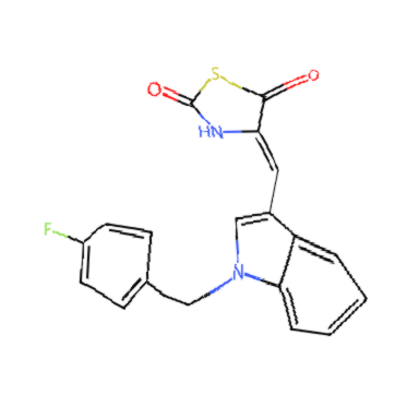 O=C1NC(=Cc2cn(Cc3ccc(F)cc3)c3ccccc23)C(=O)S1